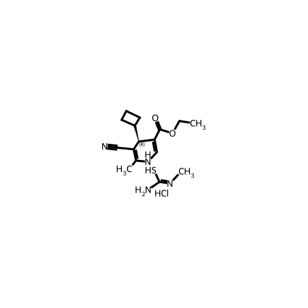 CCOC(=O)C1=CNC(C)=C(C#N)[C@H]1C1CCC1.CN=C(N)S.Cl